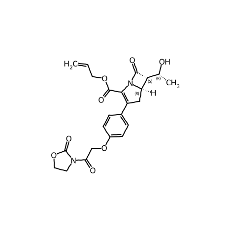 C=CCOC(=O)C1=C(c2ccc(OCC(=O)N3CCOC3=O)cc2)C[C@@H]2[C@@H]([C@@H](C)O)C(=O)N12